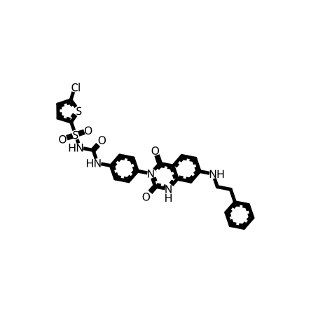 O=C(Nc1ccc(-n2c(=O)[nH]c3cc(NCCc4ccccc4)ccc3c2=O)cc1)NS(=O)(=O)c1ccc(Cl)s1